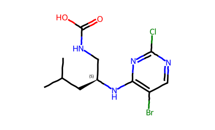 CC(C)C[C@@H](CNC(=O)O)Nc1nc(Cl)ncc1Br